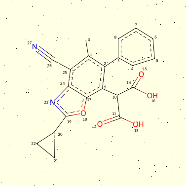 Cc1c(-c2ccccc2)c(C(C(=O)O)C(=O)O)c2oc(C3CC3)nc2c1C#N